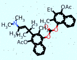 CCc1c(C)c(OC(=O)Oc2c(C)c(C(C)(C)/C=C(\C)N(C)C)c(OC(C)=O)c3ccccc23)c2ccccc2c1OC(C)=O